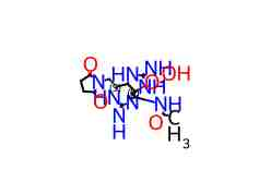 CC(=O)NC1CN2C(=N)N[C@@H](CN3C(=O)CCC3=O)C3NC(=N)NC32[C@@H]1OCO